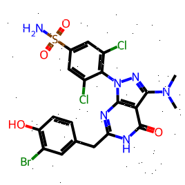 CN(C)c1nn(-c2c(Cl)cc(S(N)(=O)=O)cc2Cl)c2nc(Cc3ccc(O)c(Br)c3)[nH]c(=O)c12